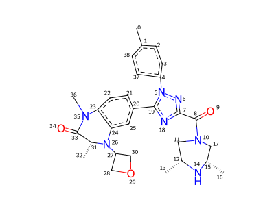 Cc1ccc(-n2nc(C(=O)N3C[C@@H](C)N[C@@H](C)C3)nc2-c2ccc3c(c2)N(C2COC2)[C@H](C)C(=O)N3C)cc1